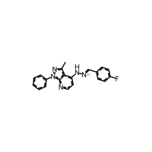 Cc1nn(-c2ccccc2)c2nccc(N/N=C/c3ccc(F)cc3)c12